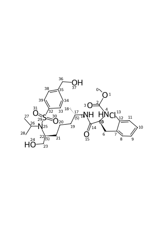 COC(=O)N[C@@H](Cc1ccccc1Cl)C(=O)N[C@@H](C)CCC[C@@H](CO)N(C(C)C)S(=O)(=O)c1ccc(CO)cc1